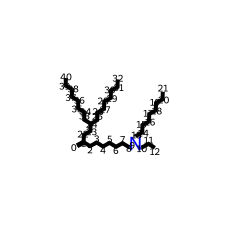 C=C(CCCCCCCN(CCC)CCCCCCCCC)CCC(CCCCCCCC)CCCCCCCC